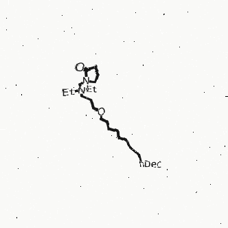 CCCCCCCCCCCCCCCCCCOCCC[N+](CC)(CC)CN1CCCC1=O